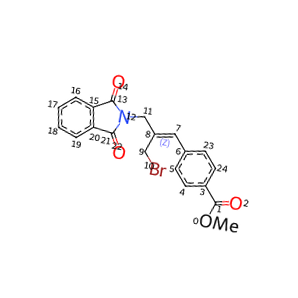 COC(=O)c1ccc(/C=C(\CBr)CN2C(=O)c3ccccc3C2=O)cc1